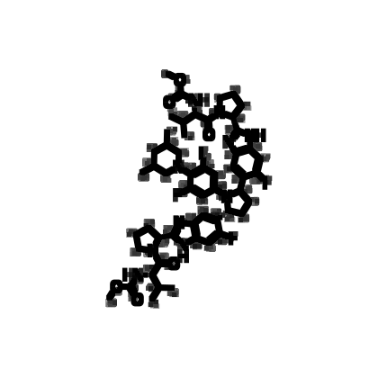 COC(=O)N[C@H](C(=O)N1CCC[C@H]1c1nc2cc(C3CC[C@H](c4cc5nc([C@@H]6CCCN6C(=O)[C@@H](NC(=O)OC)C(C)C)[nH]c5cc4F)N3c3cc(F)c(N4CC(C)CC(C)C4)c(F)c3)c(F)cc2[nH]1)C(C)C